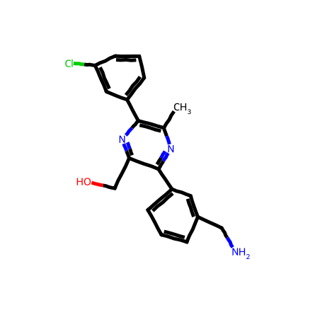 Cc1nc(-c2cccc(CN)c2)c(CO)nc1-c1cccc(Cl)c1